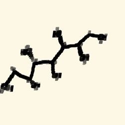 OC[C@@H](O)[C@H](O)C(O)[C@@H](O)[C@H](O)CO